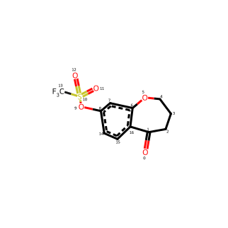 O=C1CCCOc2cc(OS(=O)(=O)C(F)(F)F)ccc21